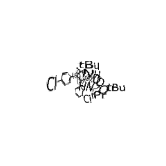 CC(C)C(NC(=O)[C@H]1N[C@H](CC(C)(C)C)[C@H](c2ccc(Cl)cc2)[C@H]1c1cccc(Cl)c1)C(=O)OC(C)(C)C